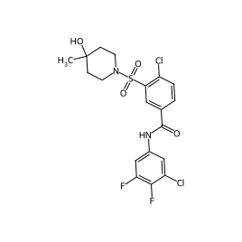 CC1(O)CCN(S(=O)(=O)c2cc(C(=O)Nc3cc(F)c(F)c(Cl)c3)ccc2Cl)CC1